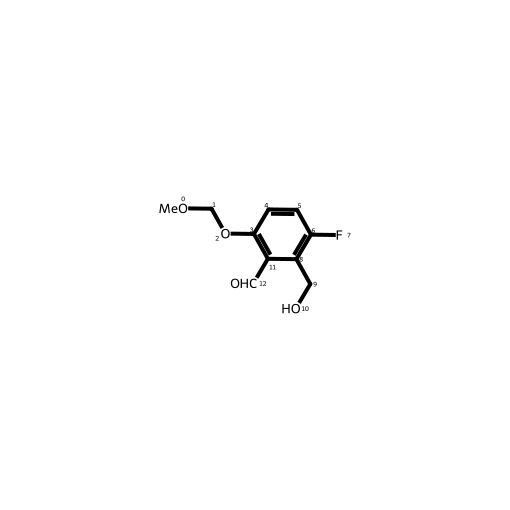 COCOc1ccc(F)c(CO)c1C=O